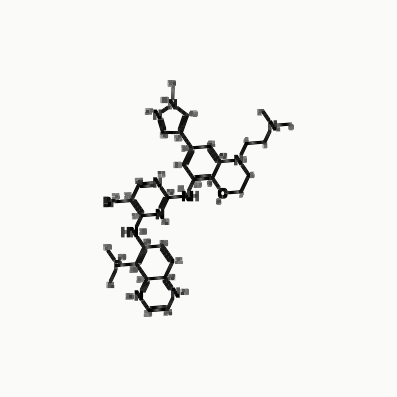 CN(C)CCN1CCOc2c(Nc3ncc(Br)c(Nc4ccc5nccnc5c4P(C)C)n3)cc(-c3cnn(C)c3)cc21